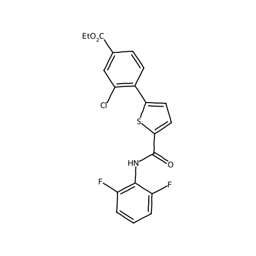 CCOC(=O)c1ccc(-c2ccc(C(=O)Nc3c(F)cccc3F)s2)c(Cl)c1